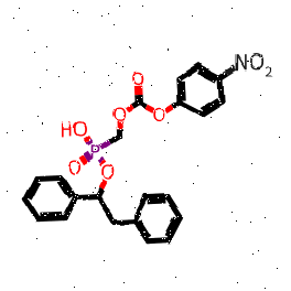 O=C(OCP(=O)(O)OC(Cc1ccccc1)c1ccccc1)Oc1ccc([N+](=O)[O-])cc1